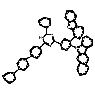 c1ccc(-c2ccc(-c3ccc(C4=NC(c5ccc(-n6c7ccccc7c7cc8ccccc8cc76)c(-c6cccc7c6oc6ccccc67)c5)=NC(c5ccccc5)N4)cc3)cc2)cc1